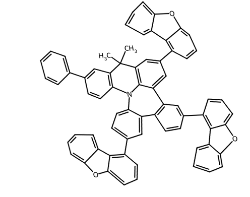 CC1(C)c2cc(-c3ccccc3)ccc2N2c3ccc(-c4cccc5oc6ccccc6c45)cc3-c3ccc(-c4cccc5oc6ccccc6c45)cc3-c3cc(-c4cccc5oc6ccccc6c45)cc1c32